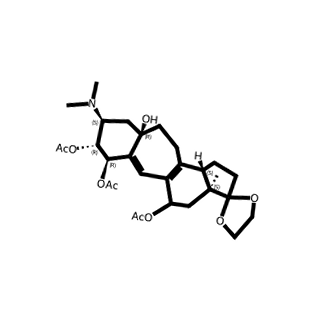 CC(=O)OC1C[C@@]2(C)[C@@H](CCC23OCCO3)C2=C1C=C1[C@@H](OC(C)=O)[C@H](OC(C)=O)[C@@H](N(C)C)C[C@]1(O)CC2